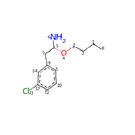 CCCCOC(N)Cc1cccc(Cl)c1